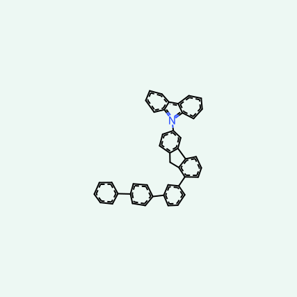 c1ccc(-c2ccc(-c3cccc(-c4cccc5c4Cc4ccc(-n6c7ccccc7c7ccccc76)cc4-5)c3)cc2)cc1